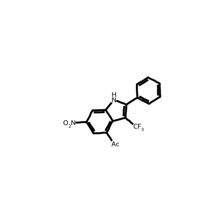 CC(=O)c1cc([N+](=O)[O-])cc2[nH]c(-c3ccccc3)c(C(F)(F)F)c12